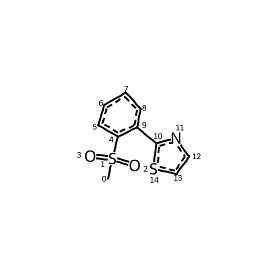 CS(=O)(=O)c1ccccc1-c1nccs1